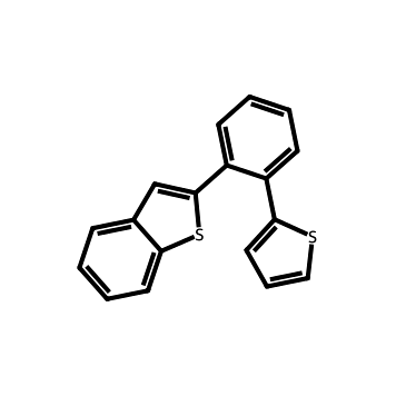 c1csc(-c2ccccc2-c2cc3ccccc3s2)c1